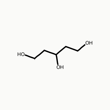 O[CH]CC(O)CCO